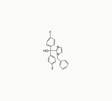 OC(c1ccc(F)cc1)(c1ccc(F)cc1)c1nccn1Cc1ccccc1